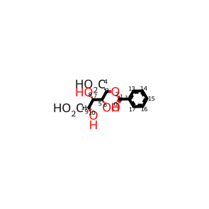 O=C(O[C@@H](C(=O)O)[C@@H](O)[C@H](O)[C@H](O)C(=O)O)c1ccccc1